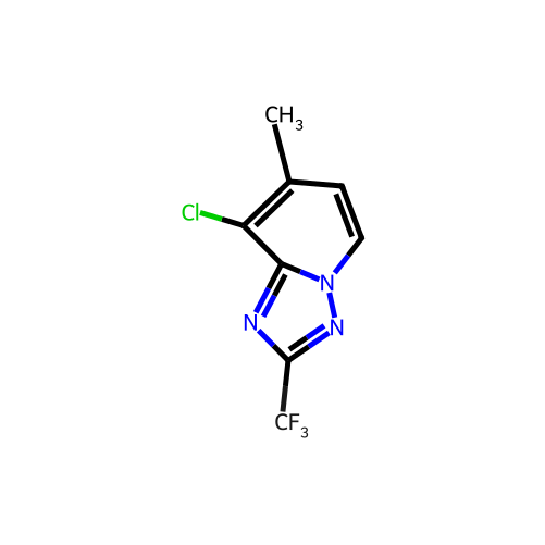 Cc1ccn2nc(C(F)(F)F)nc2c1Cl